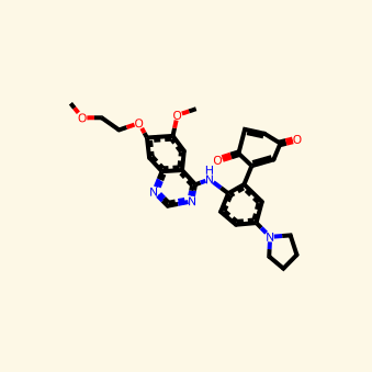 COCCOc1cc2ncnc(Nc3ccc(N4CCCC4)cc3C3=CC(=O)C=CC3=O)c2cc1OC